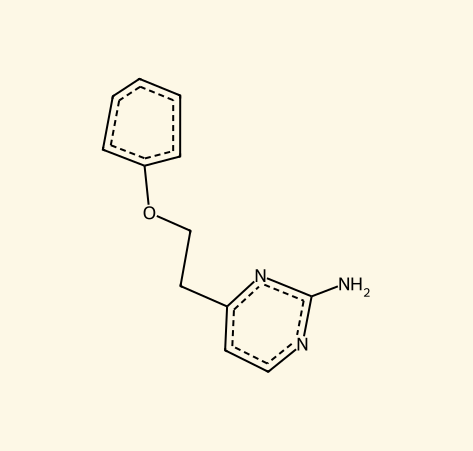 Nc1nccc(CCOc2ccccc2)n1